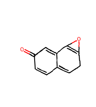 O=C1C=CC2=CCC3=C(O3)C2=C1